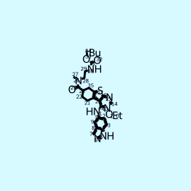 CCOc1cc2[nH]ncc2cc1Nc1ncnc2sc3c(c12)CCC(C(=O)N(C)CCNC(=O)OC(C)(C)C)C3